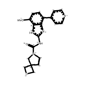 COc1ccc(-c2ccncc2)c2nc(NC(=O)N3CCC4(COC4)C3)[nH]c12